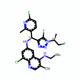 Cc1nc(F)ccc1[C@H](Nc1cc(Cl)c2ncc(C#N)c(NCC(C)(C)C)c2c1)c1nnn([C@@H](C)CF)c1F